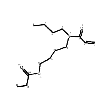 C=CC(=O)N(CCCC)CCCCOC(=O)CC